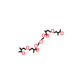 CC(=O)C(C)CCOCCC(C)C(=O)OCCOCCOC(=O)C(C)CCOCCC(C)C(C)=O